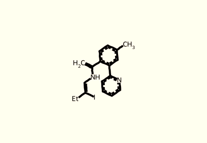 C=C(NC=C(I)CC)c1ccc(C)cc1-c1ccccn1